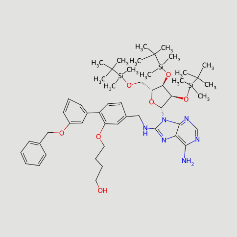 CC(C)(C)[Si](C)(C)OC[C@H]1O[C@@H](n2c(NCc3ccc(-c4cccc(OCc5ccccc5)c4)c(OCCCCO)c3)nc3c(N)ncnc32)[C@H](O[Si](C)(C)C(C)(C)C)[C@@H]1O[Si](C)(C)C(C)(C)C